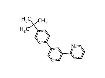 CC(C)(C)c1ccc(-c2cccc(-c3ccccn3)c2)cc1